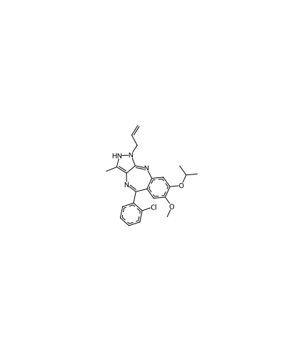 C=CCN1NC(C)=C2N=C(c3ccccc3Cl)c3cc(OC)c(OC(C)C)cc3N=C21